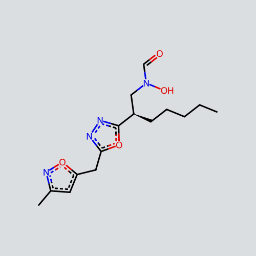 CCCCC[C@H](CN(O)C=O)c1nnc(Cc2cc(C)no2)o1